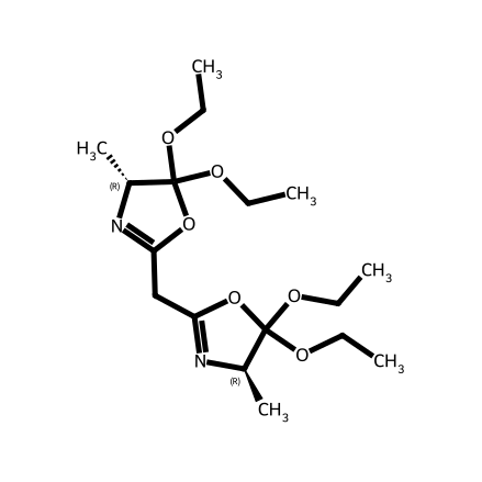 CCOC1(OCC)OC(CC2=N[C@H](C)C(OCC)(OCC)O2)=N[C@@H]1C